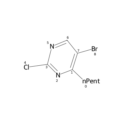 CC[CH]CCc1nc(Cl)ncc1Br